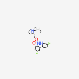 CN1CCCC1CCOC(=O)Nc1ccc(F)cc1-c1ccc(F)cc1